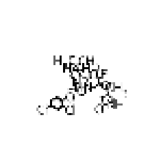 CC1CNC(=O)[C@@H]1C[C@H](NC(=O)[C@@H]1[C@@H]2[C@H](CN1C(=O)COc1ccc(Cl)cc1Cl)C2(C)C)C(=O)CF